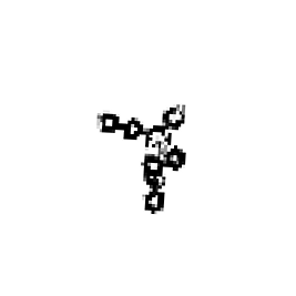 c1ccc(-c2cc3ccc4c(c5ccccc5n4-c4nc(-c5ccncc5)cc(-c5ccc(-c6ccncc6)cc5)n4)c3o2)cc1